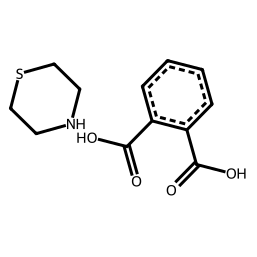 C1CSCCN1.O=C(O)c1ccccc1C(=O)O